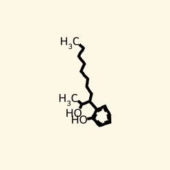 CCCCCCCCC(c1ccccc1O)C(C)O